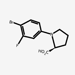 O=C(O)[C@@H]1CCCN1c1ccc(Br)c(F)c1